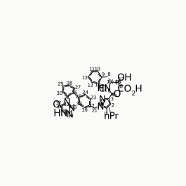 CCCc1cc(C(=O)N[C@H](Cc2ccccc2Cl)[C@@H](O)C(=O)O)nn1Cc1ccc(-c2ccccc2-n2nn[nH]c2=O)cc1